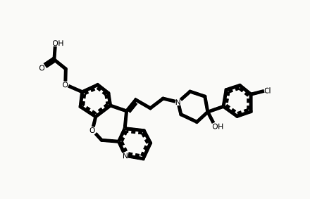 O=C(O)COc1ccc2c(c1)OCc1ncccc1C2=CCCN1CCC(O)(c2ccc(Cl)cc2)CC1